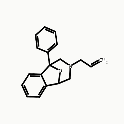 C=CCN1CC2OC(c3ccccc3)(C1)c1ccccc12